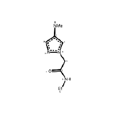 CCNC(=O)Cn1cc(NC)cn1